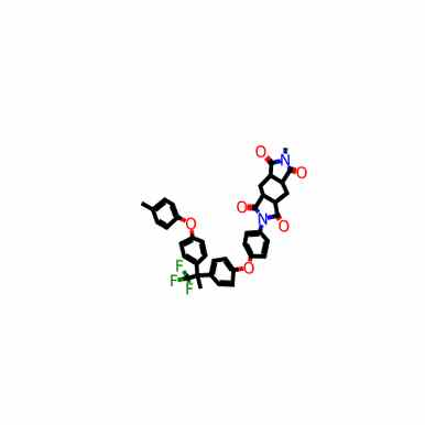 Cc1ccc(Oc2ccc(C(C)(c3ccc(Oc4ccc(N5C(=O)C6CC7C(=O)N(C)C(=O)C7CC6C5=O)cc4)cc3)C(F)(F)F)cc2)cc1